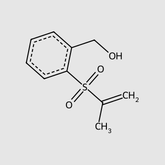 C=C(C)S(=O)(=O)c1ccccc1CO